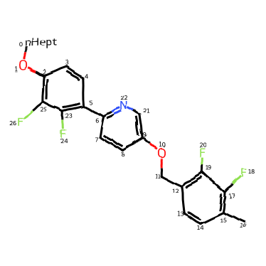 CCCCCCCOc1ccc(-c2ccc(OCc3ccc(C)c(F)c3F)cn2)c(F)c1F